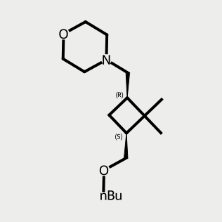 CCCCOC[C@H]1C[C@@H](CN2CCOCC2)C1(C)C